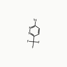 [2H]c1ccc(C(F)(F)F)nn1